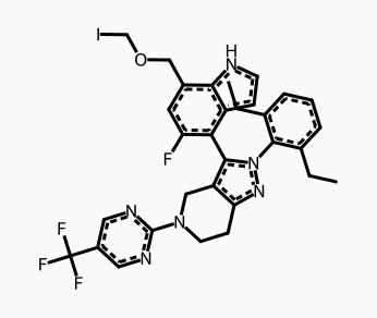 CCc1cccc(CC)c1-n1nc2c(c1-c1c(F)cc(COCI)c3[nH]ccc13)CN(c1ncc(C(F)(F)F)cn1)CC2